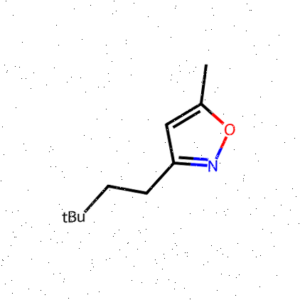 Cc1cc(CCC(C)(C)C)no1